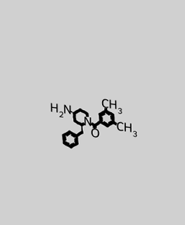 Cc1cc(C)cc(C(=O)N2CC[C@@H](N)C[C@@H]2Cc2ccccc2)c1